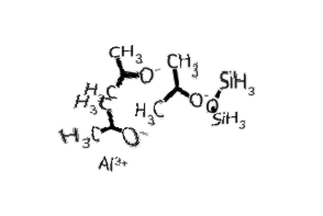 CC(C)[O-].CC(C)[O-].CC(C)[O-].[Al+3].[SiH3]O[SiH3]